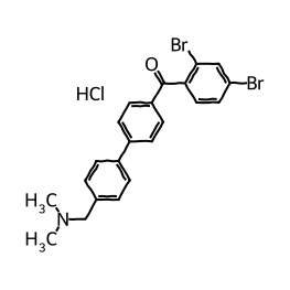 CN(C)Cc1ccc(-c2ccc(C(=O)c3ccc(Br)cc3Br)cc2)cc1.Cl